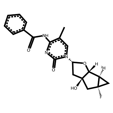 [2H][C@]12C[C@@]1(F)C[C@]1(O)C[C@H](n3cc(C)c(NC(=O)c4ccccc4)nc3=O)O[C@@H]12